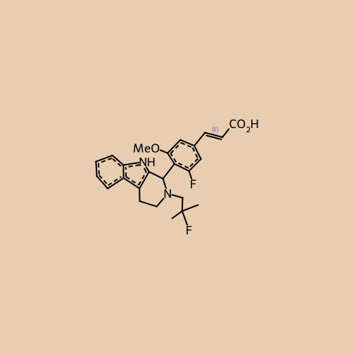 COc1cc(/C=C/C(=O)O)cc(F)c1C1c2[nH]c3ccccc3c2CCN1CC(C)(C)F